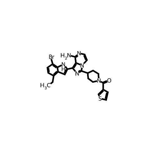 CCc1ccc(Br)c2[nH]c(-c3nc(C4CCN(C(=O)c5ccsc5)CC4)n4ccnc(N)c34)cc12